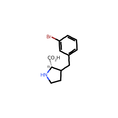 O=C(O)[C@H]1NCCC1Cc1cccc(Br)c1